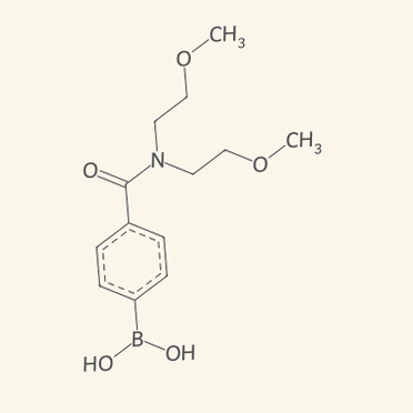 COCCN(CCOC)C(=O)c1ccc(B(O)O)cc1